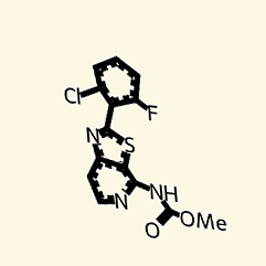 COC(=O)Nc1nccc2nc(-c3c(F)cccc3Cl)sc12